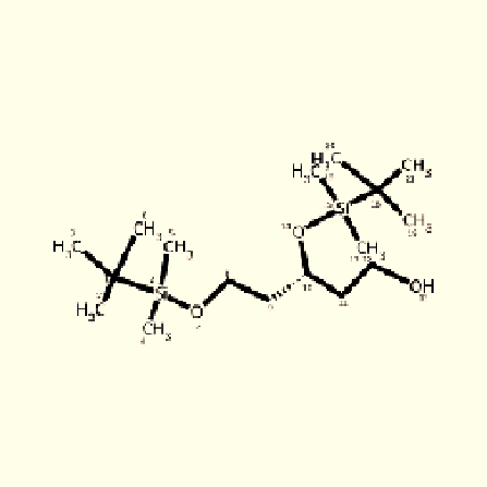 CC(C)(C)[Si](C)(C)OCC[C@@H](CCO)O[Si](C)(C)C(C)(C)C